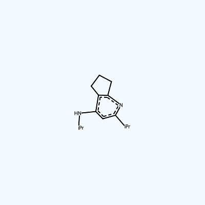 CC(C)Nc1cc(C(C)C)nc2c1CCC2